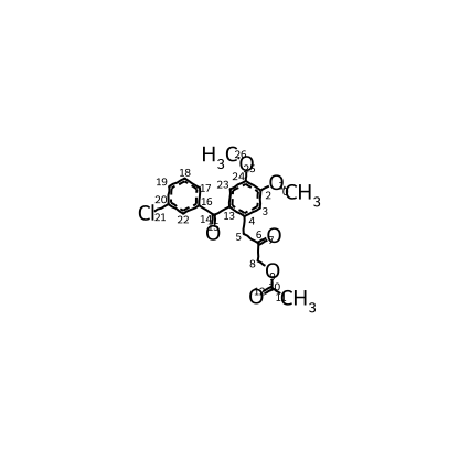 COc1cc(CC(=O)COC(C)=O)c(C(=O)c2cccc(Cl)c2)cc1OC